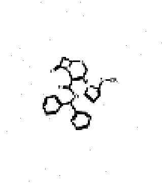 O=C(OC(c1ccccc1)c1ccccc1)C1=C([SH]2C=CC=C2OC(F)(F)F)CSC2CC(=O)N12